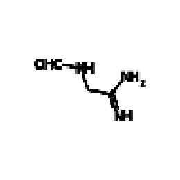 N=C(N)CNC=O